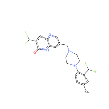 N#Cc1ccc(N2CCN(Cc3cnc4cc(C(F)F)c(=O)[nH]c4c3)CC2)c(C(F)F)c1